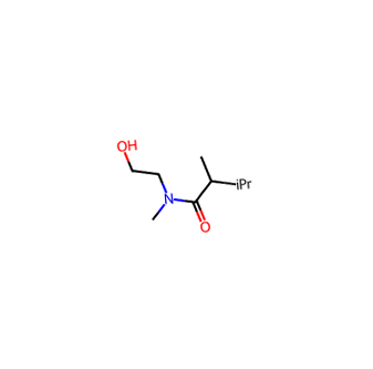 CC(C)C(C)C(=O)N(C)CCO